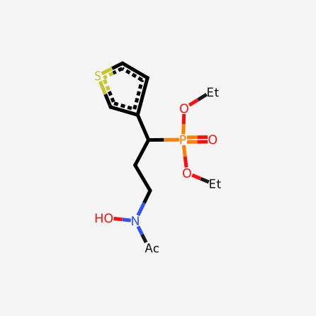 CCOP(=O)(OCC)C(CCN(O)C(C)=O)c1ccsc1